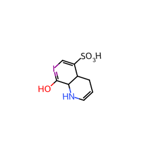 O=S(=O)(O)C1=CI=C(O)C2NC=CCC12